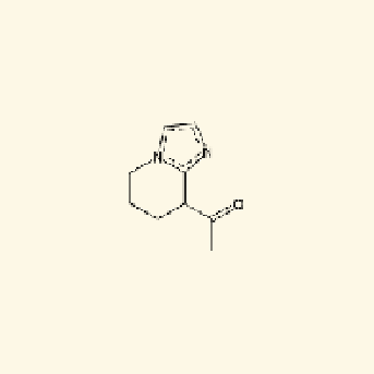 CC(=O)C1CCCn2ccnc21